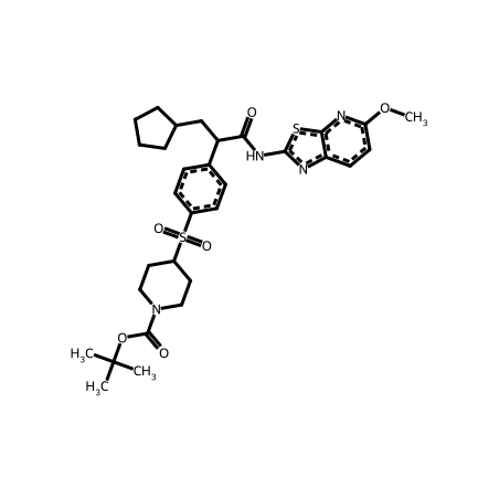 COc1ccc2nc(NC(=O)C(CC3CCCC3)c3ccc(S(=O)(=O)C4CCN(C(=O)OC(C)(C)C)CC4)cc3)sc2n1